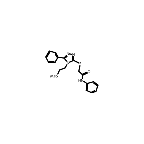 CSCCn1c(SCC(=O)Nc2ccccc2)nnc1-c1ccccc1